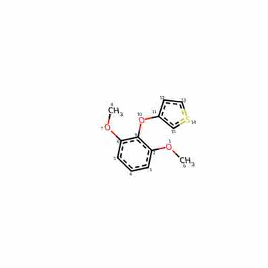 COc1cccc(OC)c1Oc1c[c]sc1